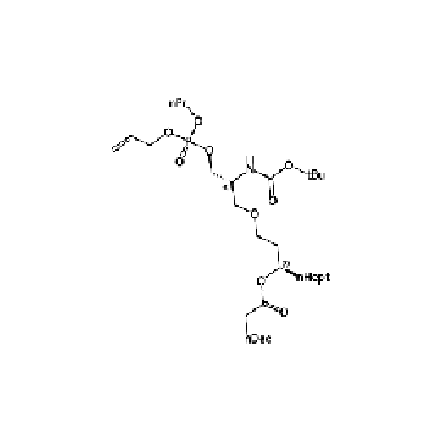 C=CCOP(=O)(OCCC)OC[C@@H](COCC[C@@H](CCCCCCC)OC(=O)CCCCCCCCCCC)NC(=O)OC(C)(C)C